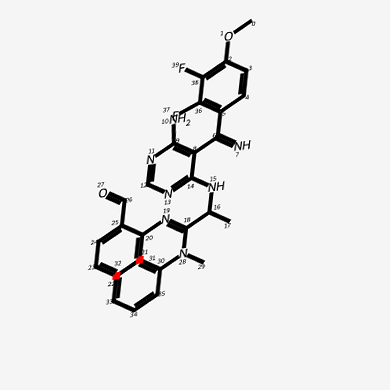 COc1ccc(C(=N)c2c(N)ncnc2NC(C)/C(=N/c2ccccc2C=O)N(C)c2ccccc2)c(F)c1F